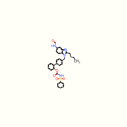 CCCCc1nc2cc(NC=O)ccc2n1Cc1ccc(-c2ccccc2OC(=O)NS(=O)(=O)c2ccccc2)cc1